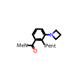 CCCC(C)c1c(C(=O)NC)cccc1N1CCC1